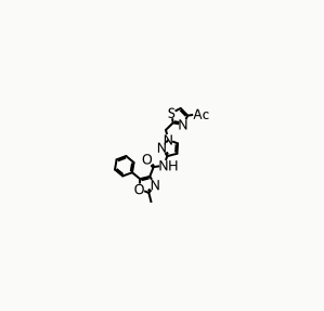 CC(=O)c1csc(Cn2ccc(NC(=O)c3nc(C)oc3-c3ccccc3)n2)n1